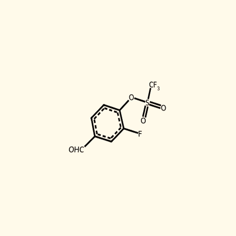 O=Cc1ccc(OS(=O)(=O)C(F)(F)F)c(F)c1